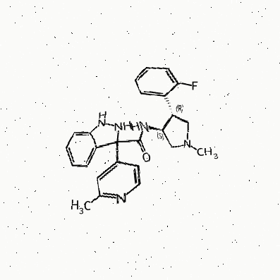 Cc1cc(C2(C(=O)N[C@@H]3CN(C)C[C@H]3c3ccccc3F)NNc3ccccc32)ccn1